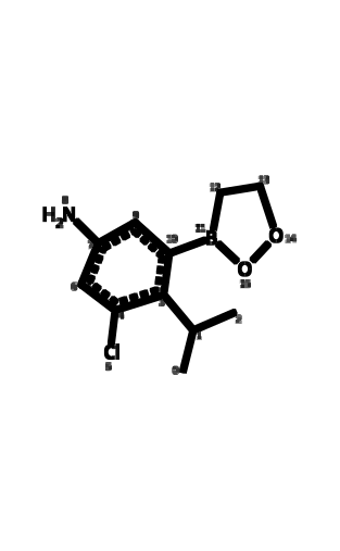 CC(C)c1c(Cl)cc(N)cc1B1CCOO1